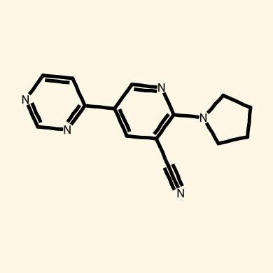 N#Cc1cc(-c2ccncn2)cnc1N1CCCC1